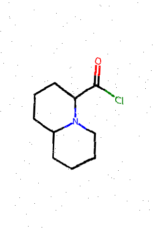 O=C(Cl)C1CCCC2CCCCN21